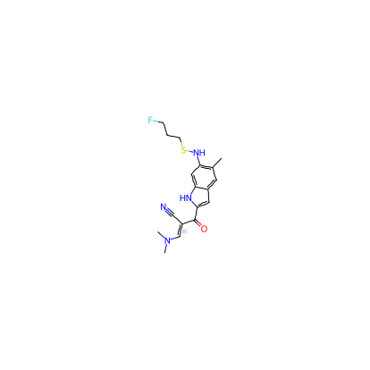 Cc1cc2cc(C(=O)/C(C#N)=C/N(C)C)[nH]c2cc1NSCCCF